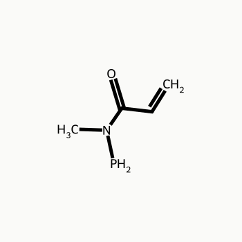 C=CC(=O)N(C)P